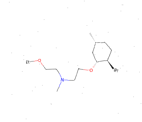 CCOCCN(C)CCO[C@@H]1C[C@H](C)CC[C@H]1C(C)C